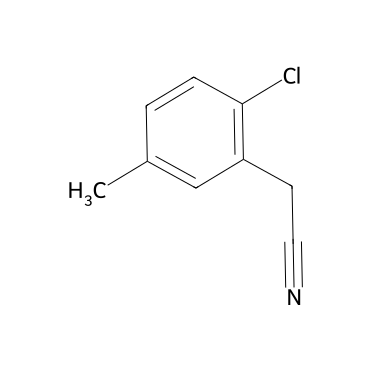 Cc1ccc(Cl)c(CC#N)c1